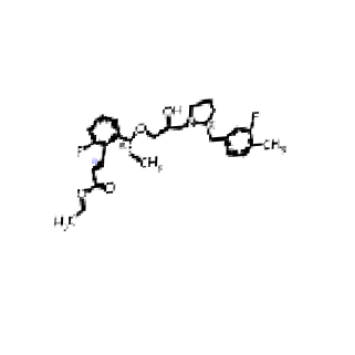 CCOC(=O)/C=C/c1c(F)cccc1[C@@H](CC)OCC(O)CN1CCC[C@H]1Cc1ccc(C)c(F)c1